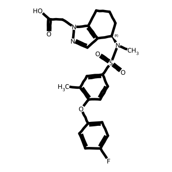 Cc1cc(S(=O)(=O)N(C)[C@@H]2CCCc3c2cnn3CC(=O)O)ccc1Oc1ccc(F)cc1